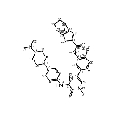 C=C1C(Nc2ccc(N3CCC(N(C)C)CC3)cc2)=NC(c2ccc(F)c(NC(=O)c3cc4c(s3)C3CCC4C3)c2)=CN1C